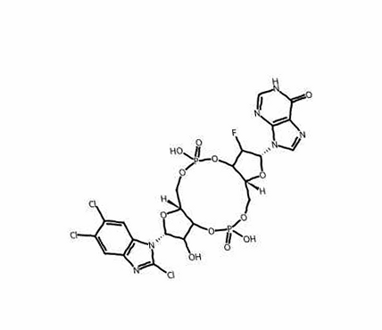 O=c1[nH]cnc2c1ncn2[C@@H]1O[C@@H]2COP(=O)(O)OC3C(O)[C@H](n4c(Cl)nc5cc(Cl)c(Cl)cc54)O[C@@H]3COP(=O)(O)OC2C1F